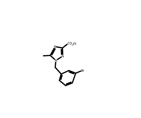 CCOC(=O)c1nc(C)n(Cc2cccc(Br)c2)n1